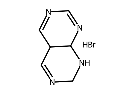 Br.C1=NC=NC2NCN=CC12